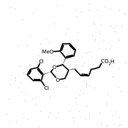 COc1ccccc1[C@H]1O[C@@H](c2c(Cl)cccc2Cl)OC[C@H]1C/C=C\CCC(=O)O